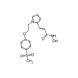 CS(=O)(=O)c1ccc(OCCn2cccc2/C=C/C(=O)NO)cc1